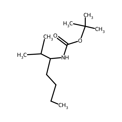 CCCCC(NC(=O)OC(C)(C)C)C(C)C